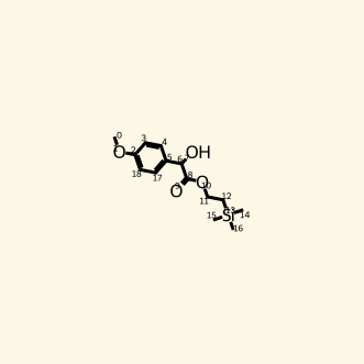 COc1ccc(C(O)C(=O)OCC[Si](C)(C)C)cc1